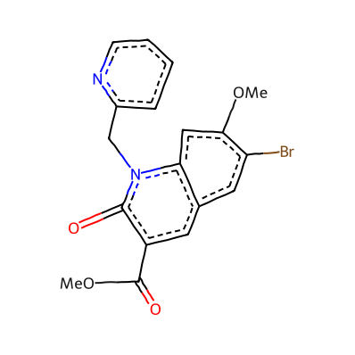 COC(=O)c1cc2cc(Br)c(OC)cc2n(Cc2ccccn2)c1=O